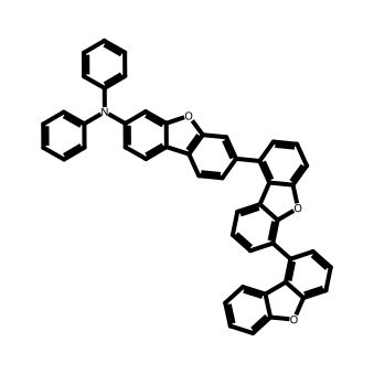 c1ccc(N(c2ccccc2)c2ccc3c(c2)oc2cc(-c4cccc5oc6c(-c7cccc8oc9ccccc9c78)cccc6c45)ccc23)cc1